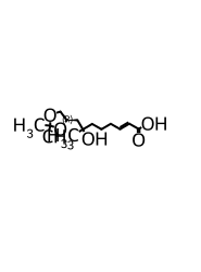 CC(O)(CCCC=CC(=O)O)C[C@@H]1COC(C)(C)O1